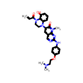 C=CC(=O)N1CCN(c2cc3cnc(Nc4ccc(OCCN(C)C)cc4)nc3n(C)c2=O)c2cccc(O)c21